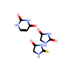 O=C1CNC(=O)N1.O=C1CNC(=S)N1.O=c1cc[nH]c(=O)[nH]1